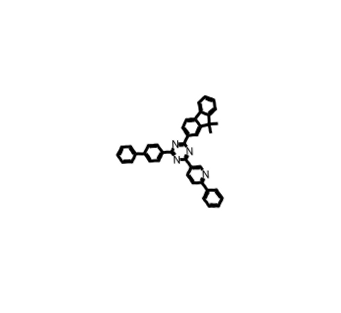 CC1(C)c2ccccc2-c2ccc(-c3nc(-c4ccc(-c5ccccc5)cc4)nc(-c4ccc(-c5ccccc5)nc4)n3)cc21